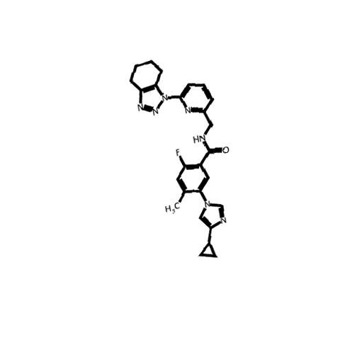 Cc1cc(F)c(C(=O)NCc2cccc(-n3nnc4c3CCCC4)n2)cc1-n1cnc(C2CC2)c1